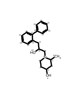 CC1CC(O)CCN1CC(O)Cc1ccccc1-c1ccccc1